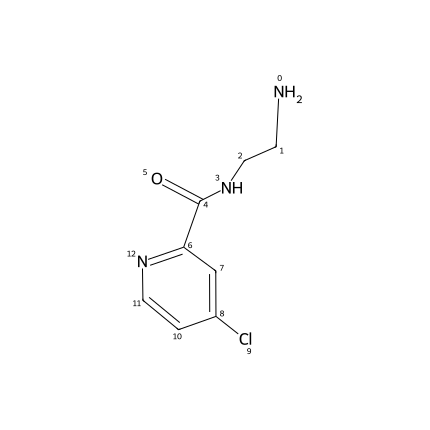 NCCNC(=O)c1cc(Cl)ccn1